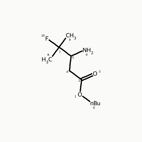 CCCCOC(=O)CC(N)C(C)(C)F